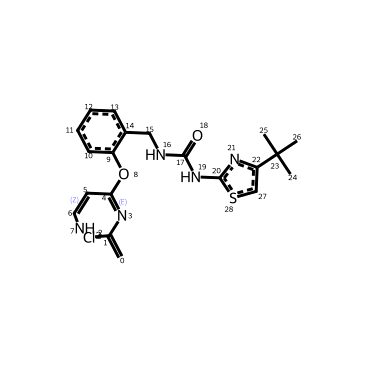 C=C(Cl)/N=C(\C=C/N)Oc1ccccc1CNC(=O)Nc1nc(C(C)(C)C)cs1